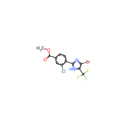 COC(=O)c1ccc(-c2nc(Br)c(C(F)(F)F)[nH]2)c(Cl)c1